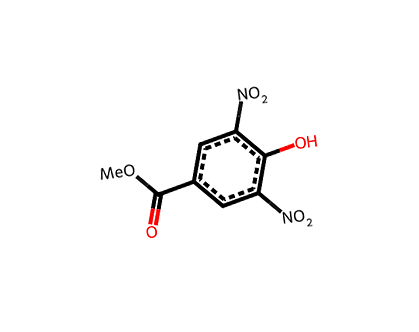 COC(=O)c1cc([N+](=O)[O-])c(O)c([N+](=O)[O-])c1